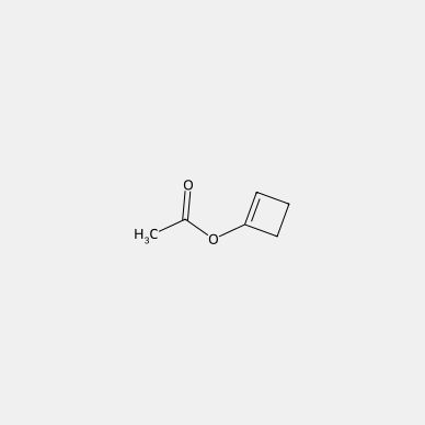 CC(=O)OC1=CCC1